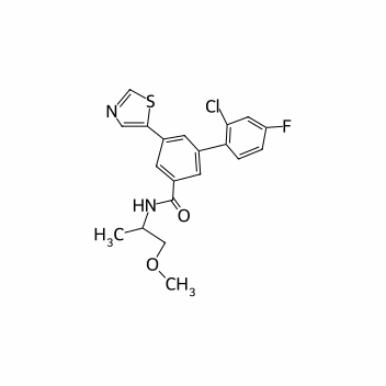 COCC(C)NC(=O)c1cc(-c2cncs2)cc(-c2ccc(F)cc2Cl)c1